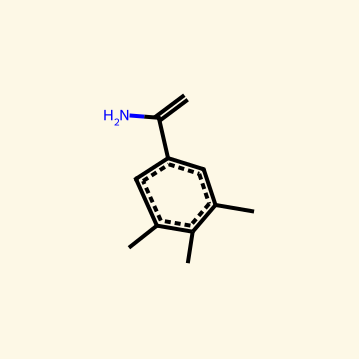 C=C(N)c1cc(C)c(C)c(C)c1